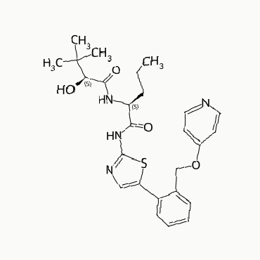 CCC[C@H](NC(=O)[C@@H](O)C(C)(C)C)C(=O)Nc1ncc(-c2ccccc2COc2ccncc2)s1